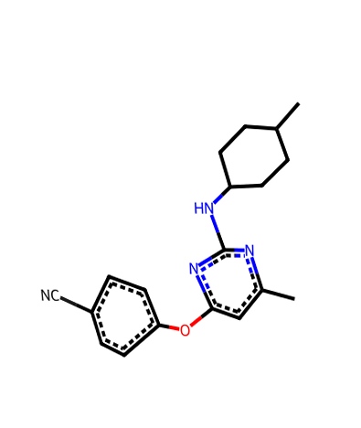 Cc1cc(Oc2ccc(C#N)cc2)nc(NC2CCC(C)CC2)n1